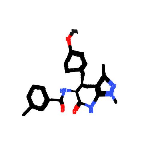 CCOc1ccc([C@H]2c3c(C)nn(C)c3NC(=O)[C@@H]2NC(=O)c2cccc(C)c2)cc1